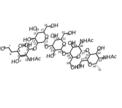 CC(=O)N/C(=C(\O)[C@H](O)CCO)[C@@H](O)OC1C(O)[C@H](O)C(CO)O[C@@H]1OC1C(O)[C@H](O[C@@H]2C(CO)O[C@@H](O[C@@H]3C(CO)O[C@@H](C)C(NC(C)=O)C3O)C(NC(C)=O)C2O)OC(CO)[C@H]1O